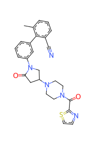 Cc1cccc(C#N)c1-c1cccc(N2CC(N3CCN(C(=O)c4nccs4)CC3)CC2=O)c1